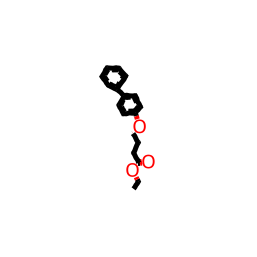 CCOC(=O)CCCOc1ccc(-c2ccccc2)cc1